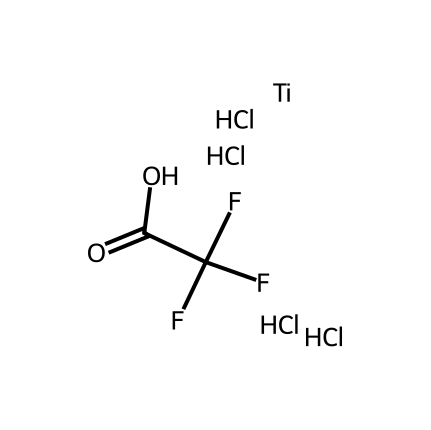 Cl.Cl.Cl.Cl.O=C(O)C(F)(F)F.[Ti]